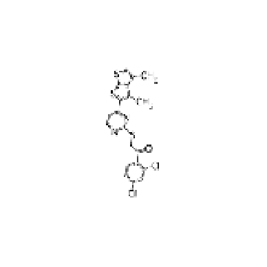 Cc1csc2sc(-c3ccnc(SCC(=O)c4ccc(Cl)cc4Cl)n3)c(C)c12